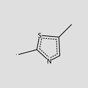 [CH2]c1ncc(C)s1